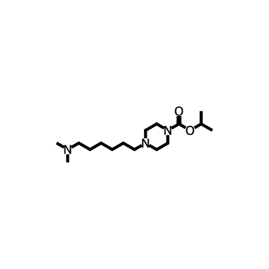 CC(C)OC(=O)N1CCN(CCCCCCN(C)C)CC1